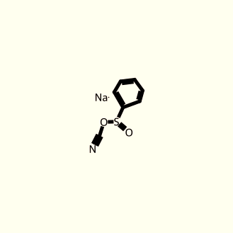 N#COS(=O)c1ccccc1.[Na]